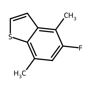 Cc1c(F)cc(C)c2sccc12